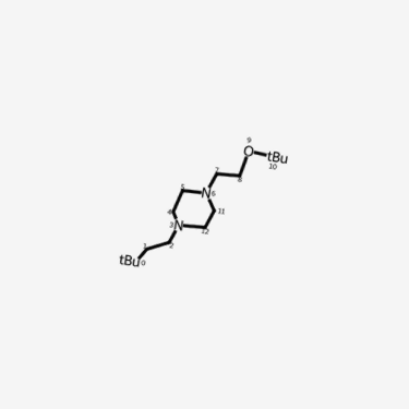 CC(C)(C)CCN1CCN(CCOC(C)(C)C)CC1